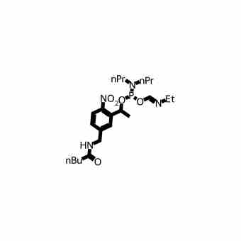 CCCCC(=O)NCc1ccc([N+](=O)[O-])c(C(C)OP(OC=NCC)N(CCC)CCC)c1